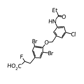 CCC(=O)Nc1cc(Cl)cc(COc2c(Br)cc(CC(F)C(=O)O)cc2Br)c1